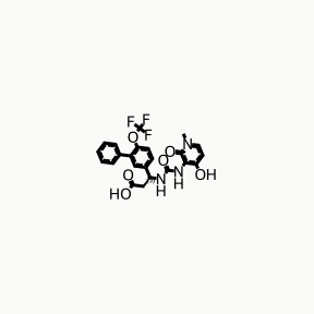 Cn1ccc(O)c(NC(=O)N[C@@H](CC(=O)O)c2ccc(OC(F)(F)F)c(-c3ccccc3)c2)c1=O